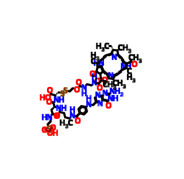 CC[C@H]1c2cc3[nH]c4c(c3C)C(=O)C(C(=O)OC)c4c3nc(cc4[nH]c(cc(n2)[C@@H]1C)c(C(C)=O)c4C)[C@@H](C)[C@@H]3CCC(=O)NCCNC(=O)OCCSSC[C@H](NC(=O)[C@H](CC(=O)NCCS(=O)(=O)O)NC(=O)CC[C@@H](C)NC(=O)c1ccc(NCc2cnc3nc(N)[nH]c(=O)c3n2)cc1)C(=O)O